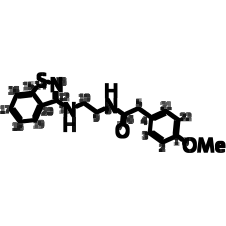 COc1ccc(CC(=O)NCCNc2nsc3ccccc23)cc1